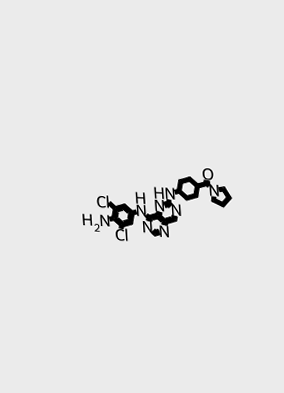 Nc1c(Cl)cc(Nc2ncnc3cnc(NC4CCC(C(=O)N5CCCC5)CC4)nc23)cc1Cl